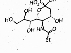 CCC(=O)N[C@H]1[C@H]([C@H](O)[C@H](O)CO)O[C@@](O)(C(=O)O)C[C@@H]1O